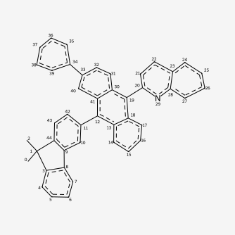 CC1(C)c2ccccc2-c2cc(-c3c4ccccc4c(-c4ccc5ccccc5n4)c4ccc(-c5ccccc5)cc34)ccc21